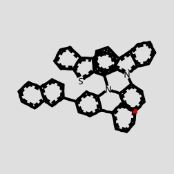 c1ccc(-c2ccc(-c3ccc4ccccc4c3)cc2N(c2ccccc2-n2c3ccccc3c3ccccc32)c2cccc3c2sc2ccccc23)cc1